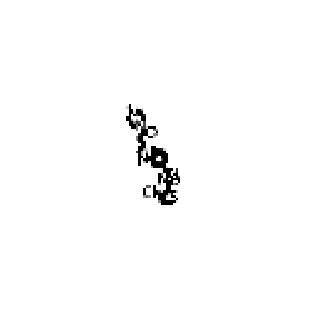 CN1CCN(C(=O)CCCN(C)c2cc(-c3noc(-c4sccc4Cl)n3)ccc2Cl)CC1